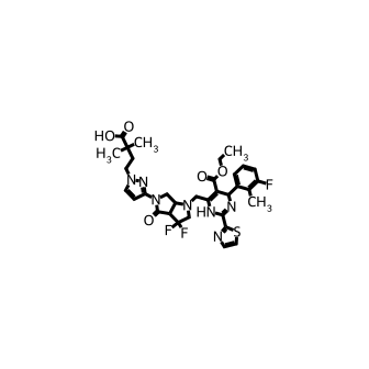 CCOC(=O)C1=C(CN2CC(F)(F)C3C(=O)N(c4ccn(CCC(C)(C)C(=O)O)n4)CC32)NC(c2nccs2)=NC1c1cccc(F)c1C